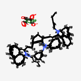 CCCCn1/c(=C\C=C2\CCC(/C=C/C3=[N+](CCCC)c4cccc5cccc3c45)=C2N(c2ccccc2)c2ccccc2)c2cccc3cccc1c32.[O-][Cl+3]([O-])([O-])[O-]